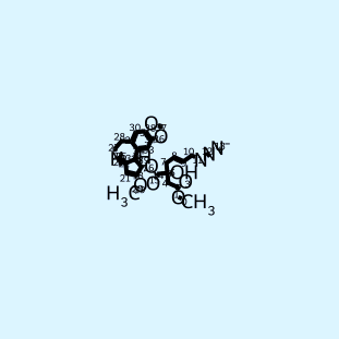 COC(=O)C[C@](O)(C/C=C/CN=[N+]=[N-])C(=O)O[C@@H]1C(OC)=C[C@]23CCCN2CCc2cc4c(cc2[C@H]13)OCO4